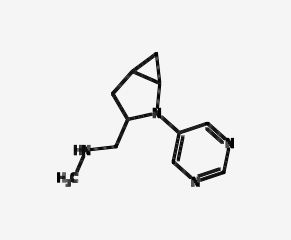 CNCC1CC2CC2N1c1cncnc1